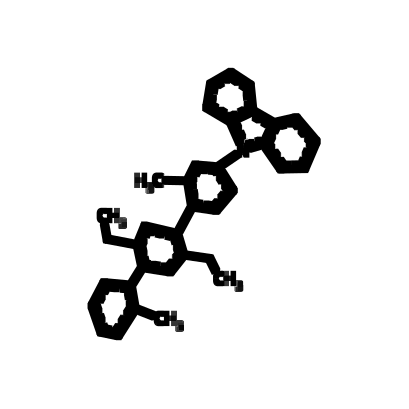 CCc1cc(-c2ccc(-n3c4ccccc4c4ccccc43)cc2C)c(CC)cc1-c1ccccc1C